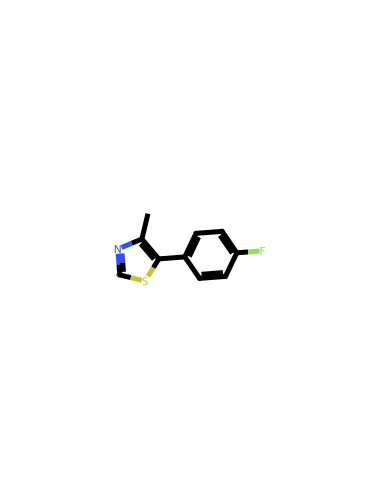 Cc1n[c]sc1-c1ccc(F)cc1